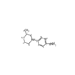 CC1CN(c2ccc(N)nc2)CCO1